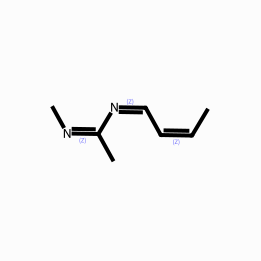 C\C=C/C=N\C(C)=N/C